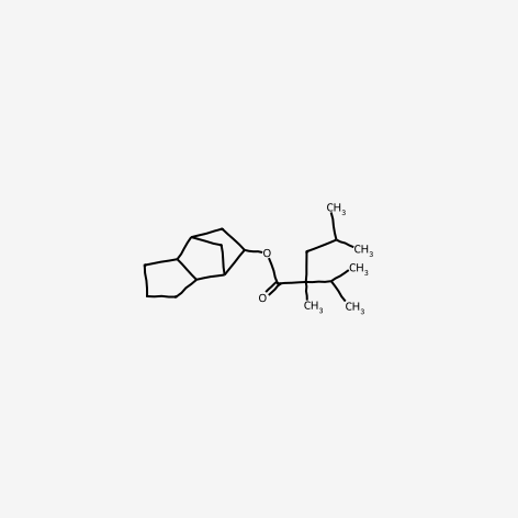 CC(C)CC(C)(C(=O)OC1CC2CC1C1CCCC21)C(C)C